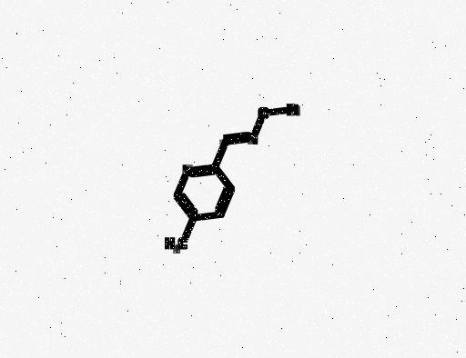 CCO/N=[C]/c1ccc(C)cn1